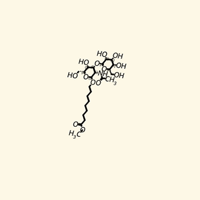 COC(=O)CCCCCCCCO[C@H]1O[C@H](CO)[C@@H](O)[C@H](O[C@@H]2O[C@H](CO)[C@H](O)[C@H](O)[C@H]2O)[C@@H]1NC(C)=O